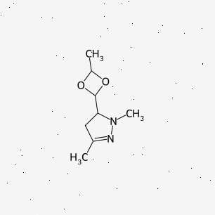 CC1=NN(C)C(C2OC(C)O2)C1